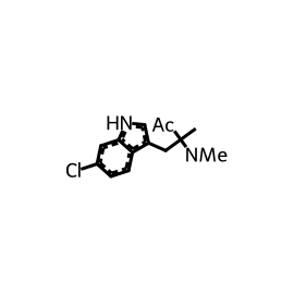 CNC(C)(Cc1c[nH]c2cc(Cl)ccc12)C(C)=O